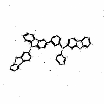 c1ccc(N(c2cccc(-c3ccc4c(c3)c3ccccc3n4-c3ccc4c(c3)oc3ccccc34)c2)c2ccc3c(c2)oc2ccccc23)cc1